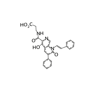 O=C(O)CCNC(=O)c1ncc2c(cc(-c3ccccc3)c(=O)n2C=Cc2ccccc2)c1O